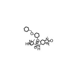 Cc1n[nH]cc1S(=O)(=O)Nc1cc2c(cc1Oc1cccc(OCc3ccccc3)c1)n(C)c(=O)n2C